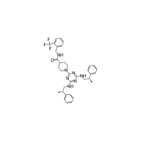 C[C@@H](CNc1nc(NC[C@H](C)c2ccccc2)nc(N2CCC(C(=O)NCc3ccccc3C(F)(F)F)CC2)n1)c1ccccc1